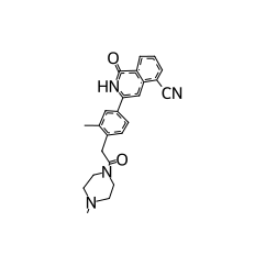 Cc1cc(-c2cc3c(C#N)cccc3c(=O)[nH]2)ccc1CC(=O)N1CCN(C)CC1